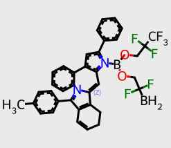 BC(F)(F)COB(OCC(F)(F)C(F)(F)F)n1c(-c2ccccc2)cc(-c2ccccc2)c1/C=C1\N=C(c2ccc(C)cc2)C2=C1CCC=C2